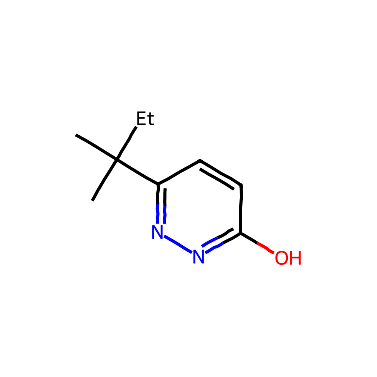 CCC(C)(C)c1ccc(O)nn1